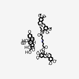 COc1cc2c(cc1OC)[C@@H](Cc1cc(OC)c(OC)c(OC)c1)[N+](C)(CCCOC(=O)CC/C=C/CCC(=O)OCCC[N+]1(C)CCc3cc(OC)c(OC)cc3[C@H]1Cc1cc(OC)c(OC)c(OC)c1)CC2.C[C@@H]1C[C@H]2[C@@H]3CCC4=CC(=O)C=C[C@]4(C)[C@@]3(F)[C@@H](O)C[C@]2(C)[C@@]1(O)C(=O)CO.[Cl-].[Cl-]